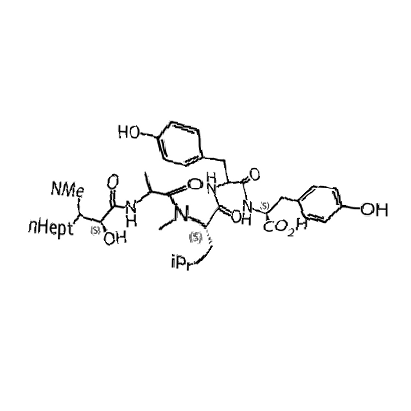 CCCCCCCC(NC)[C@H](O)C(=O)NC(C)C(=O)N(C)[C@@H](CC(C)C)C(=O)NC(Cc1ccc(O)cc1)C(=O)N[C@@H](Cc1ccc(O)cc1)C(=O)O